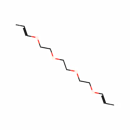 CCC=COCCOCCOCCOC=CCC